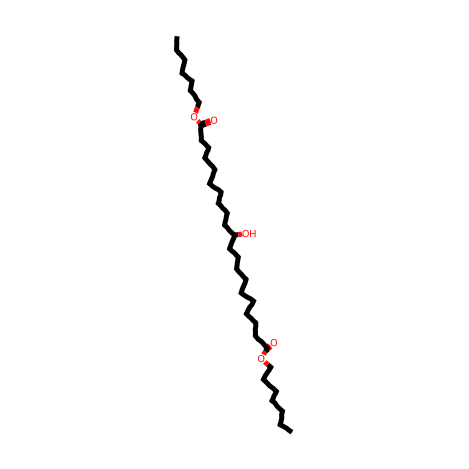 CCCCCCCOC(=O)CCCCCCCCCC(O)CCCCCCCCCC(=O)OCCCCCCC